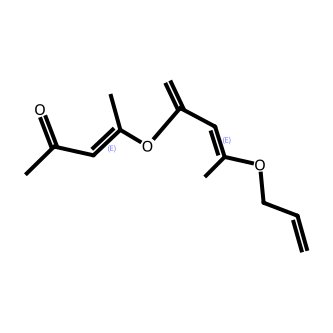 C=CCO/C(C)=C/C(=C)O/C(C)=C/C(C)=O